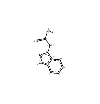 CNC(=S)Nc1noc2ccccc12